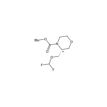 CC(C)(C)OC(=O)N1CCOC[C@@H]1COC(F)F